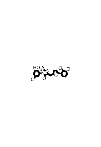 O=C1C(=Cc2ccc(-c3cccc(Cl)c3Cl)o2)SC(S(=O)(=O)O)N1c1cccc(Cl)c1